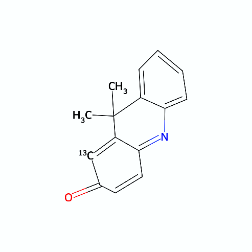 CC1(C)C2=[13CH]C(=O)C=CC2=Nc2ccccc21